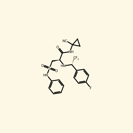 N#CC1(NC(=O)[C@H](CS(=O)(=O)Nc2ccccc2)N[C@@H](c2ccc(F)cc2)C(F)(F)F)CC1